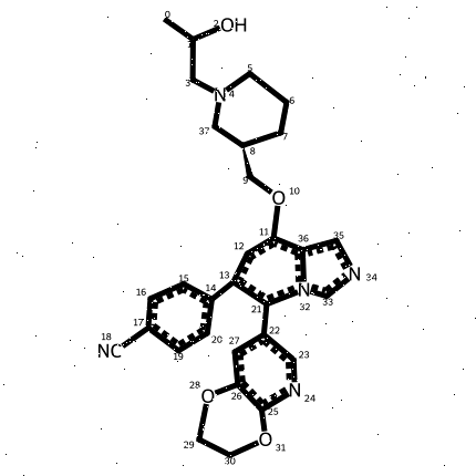 CC(O)CN1CCC[C@@H](COc2cc(-c3ccc(C#N)cc3)c(-c3cnc4c(c3)OCCO4)n3cncc23)C1